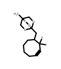 CC12COC(CC3CCCCC#CC3(F)F)(OC1)OC2